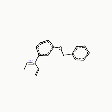 C=C/C(=C\C)c1cccc(OCc2ccccc2)c1